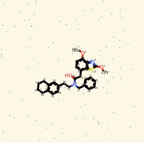 CC(C)Oc1nc2c(OC(C)(C)C)ccc(CC(O)N(CCc3ccc4c(c3)CCCC4)Cc3ccccc3)c2s1